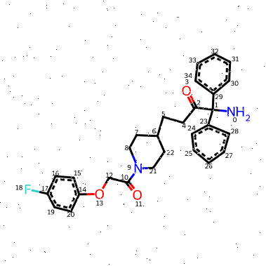 NC(C(=O)CCC1CCN(C(=O)COc2ccc(F)cc2)CC1)(c1ccccc1)c1ccccc1